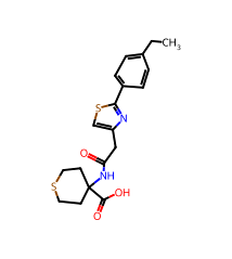 CCc1ccc(-c2nc(CC(=O)NC3(C(=O)O)CCSCC3)cs2)cc1